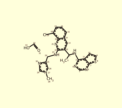 CC(Nc1ncnc2sccc12)c1cc2cccc(Cl)c2nc1NCc1cn(C)cn1.O=CO